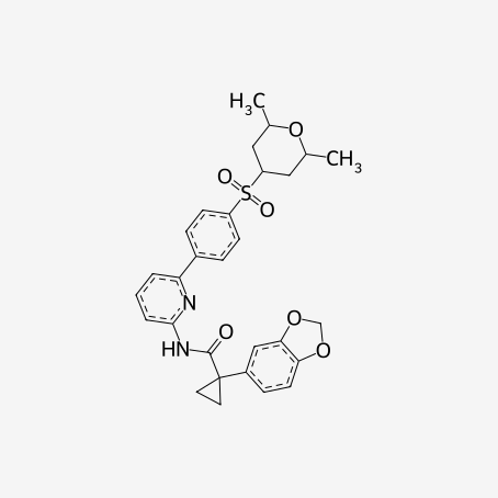 CC1CC(S(=O)(=O)c2ccc(-c3cccc(NC(=O)C4(c5ccc6c(c5)OCO6)CC4)n3)cc2)CC(C)O1